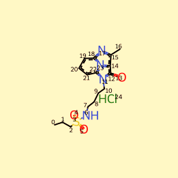 CCCS(=O)(=O)NCCCCn1c(=O)c2c(C)nc3cccc1n32.Cl